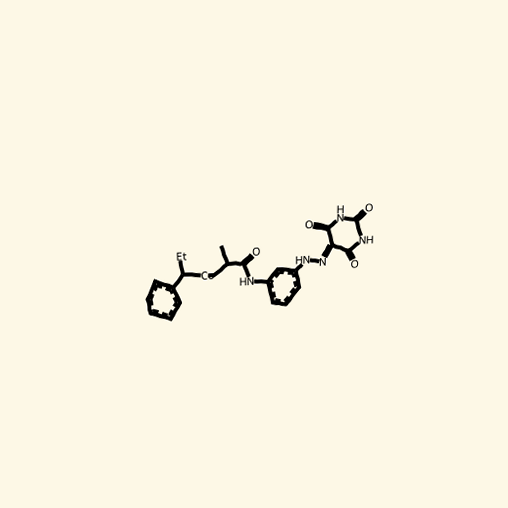 CC[CH]([Co][CH2]C(C)C(=O)Nc1cccc(NN=C2C(=O)NC(=O)NC2=O)c1)c1ccccc1